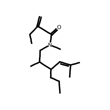 C=C(CC)C(=O)N(C)CC(C)C(C=C(C)C)CCC